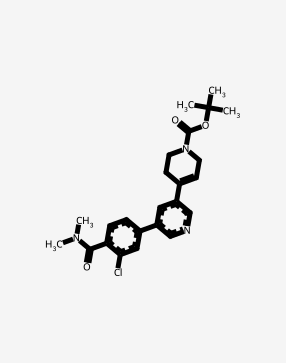 CN(C)C(=O)c1ccc(-c2cncc(C3=CCN(C(=O)OC(C)(C)C)CC3)c2)cc1Cl